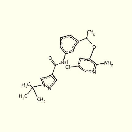 CC(Oc1cc(Cl)cnc1N)c1cccc(NC(=O)c2cnn(C(C)(C)C)c2)c1